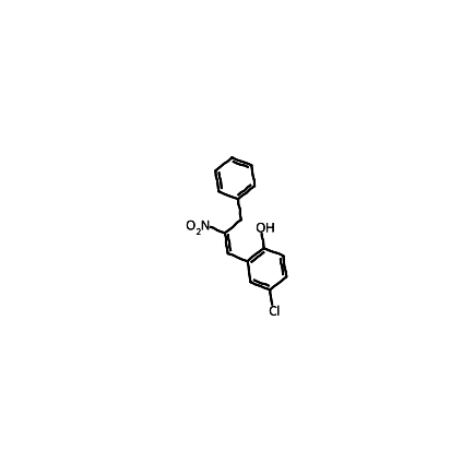 O=[N+]([O-])/C(=C/c1cc(Cl)ccc1O)Cc1ccccc1